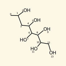 CC(O)CC(O)C(O)C(O)C(O)CO